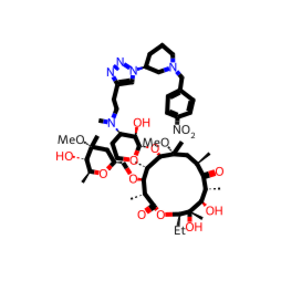 CC[C@H]1OC(=O)[C@H](C)[C@@H](OC[C@H]2C[C@@](C)(OC)[C@@H](O)[C@H](C)O2)[C@H](C)[C@@H](O[C@@H]2O[C@H](C)C[C@H](N(C)CCc3cn([C@H]4CCCN(Cc5ccc([N+](=O)[O-])cc5)C4)nn3)[C@H]2O)[C@](C)(OC)C[C@@H](C)C(=O)[C@H](C)[C@@H](O)[C@]1(C)O